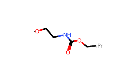 CC(C)COC(=O)NCC[O]